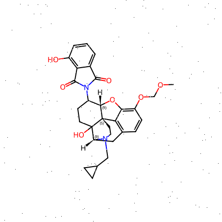 COCOc1ccc2c3c1O[C@H]1C(N4C(=O)c5cccc(O)c5C4=O)CCC4(O)[C@@H](C2)N(CC2CC2)CC[C@]314